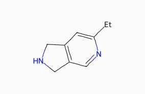 CCc1cc2c(cn1)CNC2